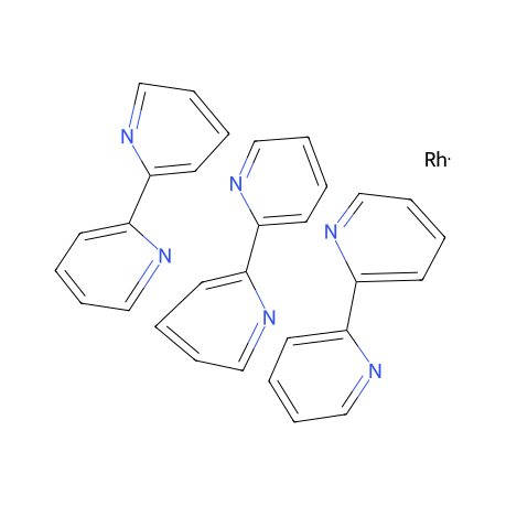 [Rh].c1ccc(-c2ccccn2)nc1.c1ccc(-c2ccccn2)nc1.c1ccc(-c2ccccn2)nc1